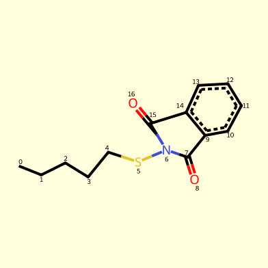 CCCCCSN1C(=O)c2ccccc2C1=O